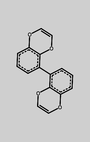 C1=COc2c(cccc2-c2cccc3c2OC=CO3)O1